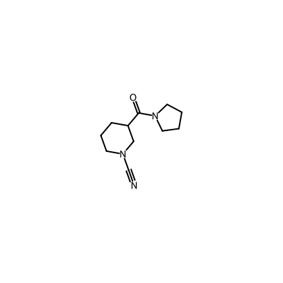 N#CN1CCCC(C(=O)N2CCCC2)C1